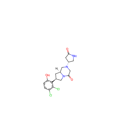 O=C1C[C@@H](N2CC(=O)N3C[C@@H](c4c(O)ccc(Cl)c4Cl)C[C@H]3C2)CN1